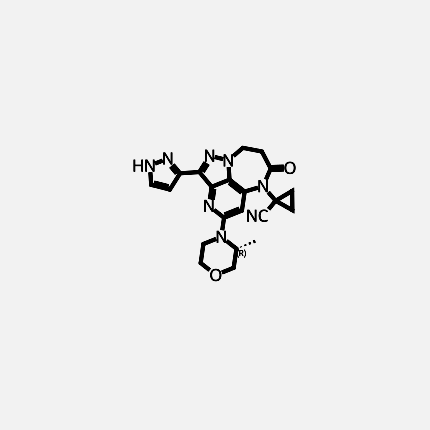 C[C@@H]1COCCN1c1cc2c3c(n1)c(-c1cc[nH]n1)nn3CCC(=O)N2C1(C#N)CC1